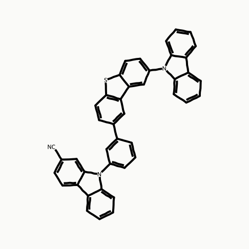 N#Cc1ccc2c3ccccc3n(-c3cccc(-c4ccc5sc6ccc(-n7c8ccccc8c8ccccc87)cc6c5c4)c3)c2c1